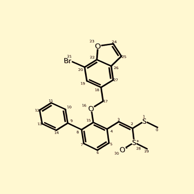 CSC(=Cc1cccc(-c2ccccc2)c1OCc1cc(Br)c2occc2c1)[S+](C)[O-]